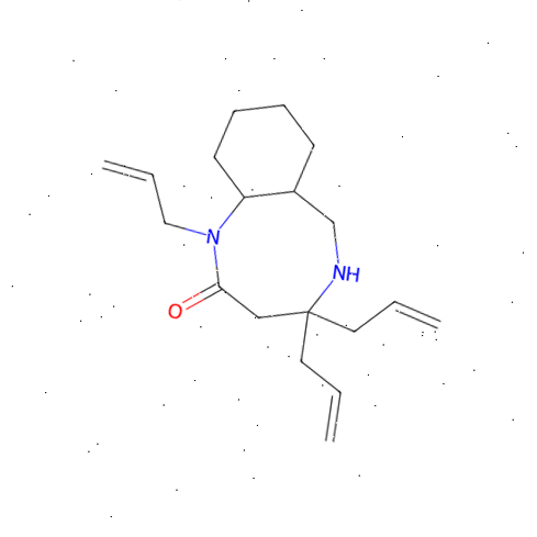 C=CCN1C(=O)CC(CC=C)(CC=C)NCC2CCCCC21